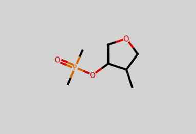 CC1COCC1OP(C)(C)=O